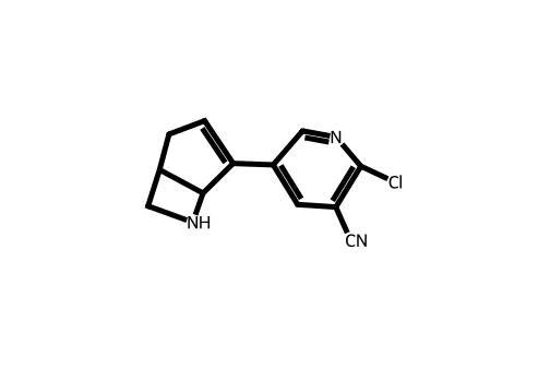 N#Cc1cc(C2=CCC3CNC23)cnc1Cl